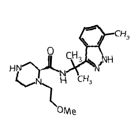 COCCN1CCNC[C@H]1C(=O)NC(C)(C)c1n[nH]c2c(C)cccc12